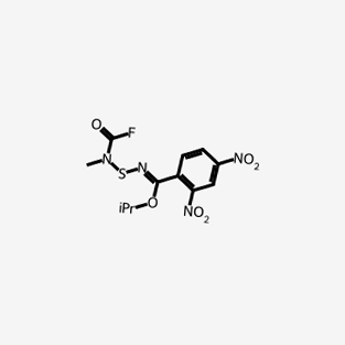 CC(C)OC(=NSN(C)C(=O)F)c1ccc([N+](=O)[O-])cc1[N+](=O)[O-]